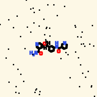 [2H]C([2H])(Oc1cncc(C(N)=O)c1)c1cccc(NC(=O)c2cccnc2)c1